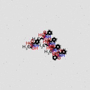 CCCCP(=O)(O)NC(C(=O)O)c1ccccc1.CCCP(=O)(O)NC(C(=O)O)c1ccccc1.CCP(=O)(O)NC(C(=O)O)c1ccccc1.CP(=O)(O)NC(C(=O)O)c1ccccc1.O=C(O)C(NP(=O)(O)C1CCCCC1)c1ccccc1